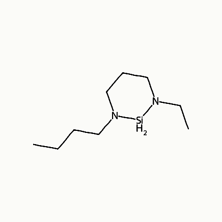 CCCCN1CCCN(CC)[SiH2]1